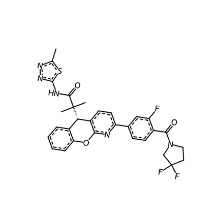 Cc1nnc(NC(=O)C(C)(C)[C@H]2c3ccccc3Oc3nc(-c4ccc(C(=O)N5CCC(F)(F)C5)c(F)c4)ccc32)s1